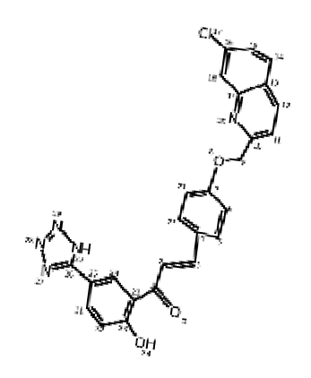 O=C(C=Cc1ccc(OCc2ccc3ccc(Cl)cc3n2)cc1)c1cc(-c2nnn[nH]2)ccc1O